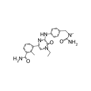 CCn1cc(-c2cccc(C(N)=O)c2C)nc(Nc2ccc(CN(C)C(N)=O)cc2)c1=O